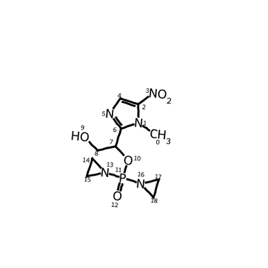 Cn1c([N+](=O)[O-])cnc1C(CO)OP(=O)(N1CC1)N1CC1